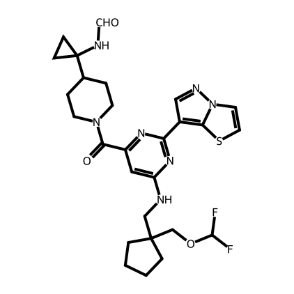 O=CNC1(C2CCN(C(=O)c3cc(NCC4(COC(F)F)CCCC4)nc(-c4cnn5ccsc45)n3)CC2)CC1